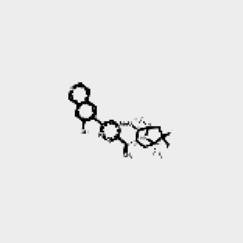 C=C(c1ncc(-c2cc3ccncc3cc2O)nn1)[C@H]1C[C@@]2(C)N[C@](C)(CC2(F)F)[C@@H]1OC